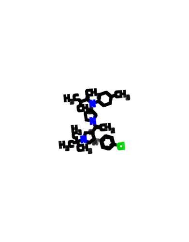 C=C([C@@H]1CN(C(C)(C)C)C[C@H]1c1ccc(Cl)cc1)N1CC[C@H](N(C(=C)C(C)C)C2CCC(C)CC2)C1